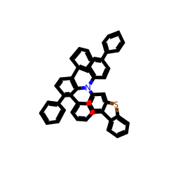 c1ccc(-c2ccc(N(c3ccc4c(c3)sc3ccccc34)c3c(-c4ccccc4)ccc(-c4ccccc4)c3-c3ccccc3)cc2)cc1